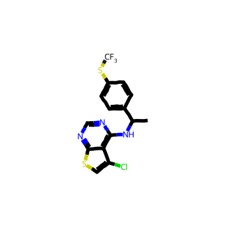 CC(Nc1ncnc2scc(Cl)c12)c1ccc(SC(F)(F)F)cc1